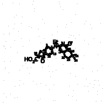 CCN(c1ccc(C(=O)C(C)(C)C(=O)O)cc1)c1nc(=O)c2c(s1)CCC(C)(C)C2